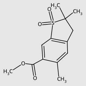 COC(=O)c1cc2c(cc1C)CC(C)(C)S2(=O)=O